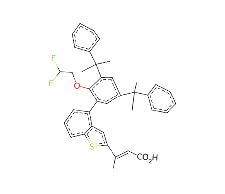 CC(=CC(=O)O)c1cc2c(-c3cc(C(C)(C)c4ccccc4)cc(C(C)(C)c4ccccc4)c3OCC(F)F)cccc2s1